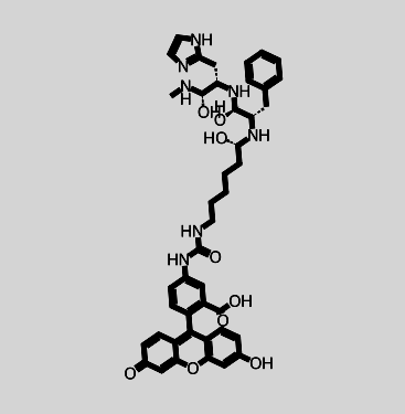 CN[C@@H](O)[C@H](Cc1ncc[nH]1)N[C@H](O)[C@H](Cc1ccccc1)N[C@@H](O)CCCCCNC(=O)Nc1ccc(-c2c3ccc(=O)cc-3oc3cc(O)ccc23)c(C(=O)O)c1